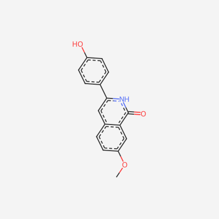 COc1ccc2cc(-c3ccc(O)cc3)[nH]c(=O)c2c1